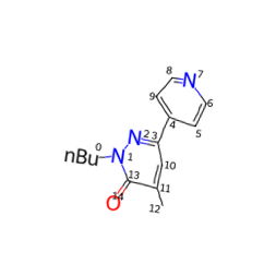 CCCCn1nc(-c2ccncc2)cc(C)c1=O